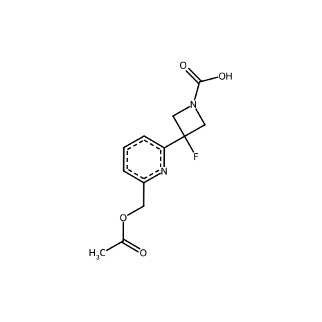 CC(=O)OCc1cccc(C2(F)CN(C(=O)O)C2)n1